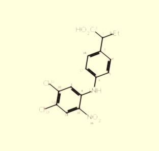 CCC(C(=O)O)c1ccc(Nc2cc(Cl)c(Cl)cc2[N+](=O)[O-])cc1